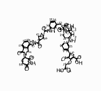 CC1(C)C[C@@H](Nc2cccc(-c3sc(C(=O)O)c(OCC(=O)O)c3Cl)c2)CCN1S(=O)(=O)Cc1cccc(NC(=O)N2CC(C(=O)NCc3cccc4c3CN(C3CCC(=O)NC3=O)C4=O)C2)c1